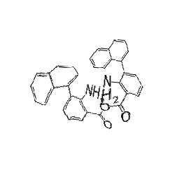 Nc1c(C(=O)OC(=O)c2cccc(-c3cccc4ccccc34)c2N)cccc1-c1cccc2ccccc12